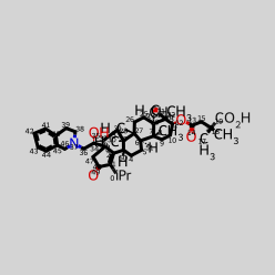 CC(C)C1=C2[C@H]3CC[C@@H]4[C@@]5(C)CC[C@H](OC(=O)CC(C)(C)C(=O)O)C(C)(C)[C@]5(C)CC[C@@]4(C)[C@]3(C)CC[C@@]2([C@@H](O)CN2CCc3ccccc3C2)CC1=O